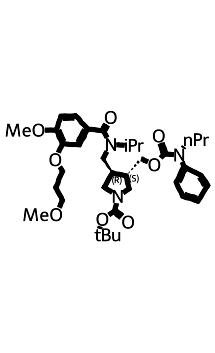 CCCN(C(=O)OC[C@@H]1CN(C(=O)OC(C)(C)C)C[C@H]1CN(C(=O)c1ccc(OC)c(OCCCOC)c1)C(C)C)c1ccccc1